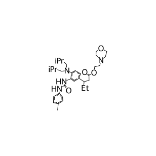 CCC(CC(=O)OCCN1CCOCC1)c1ccc(N(CC(C)C)CC(C)C)c(NC(=O)Nc2ccc(C)cc2)c1